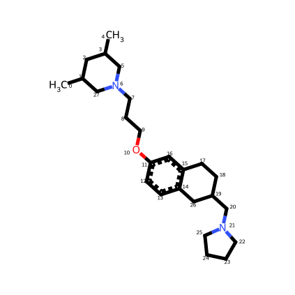 CC1CC(C)CN(CCCOc2ccc3c(c2)CCC(CN2CCCC2)C3)C1